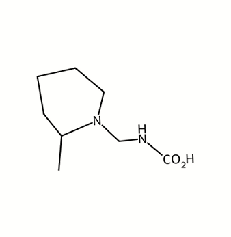 CC1CCCCN1CNC(=O)O